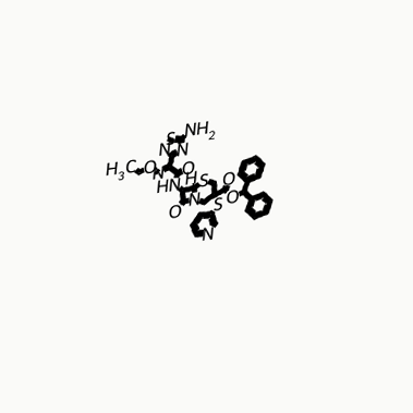 CCON=C(C(=O)NC1C(=O)N2CC(Sc3cccnc3)(C(=O)OC(c3ccccc3)c3ccccc3)CS[C@H]12)c1nsc(N)n1